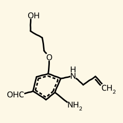 C=CCNc1c(N)cc(C=O)cc1OCCCO